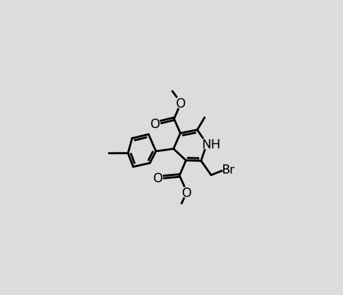 COC(=O)C1=C(C)NC(CBr)=C(C(=O)OC)C1c1ccc(C)cc1